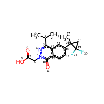 CC(C)c1nn(CC(=O)O)c(=O)c2ccc([C@]3(C)CC3(F)F)cc12